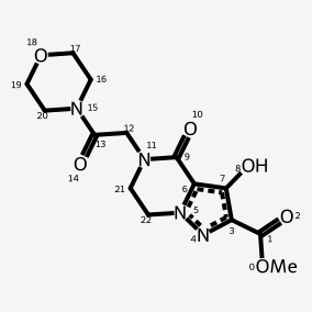 COC(=O)c1nn2c(c1O)C(=O)N(CC(=O)N1CCOCC1)CC2